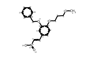 COCCCOc1ccc(C=C[N+](=O)[O-])cc1OCc1ccccc1